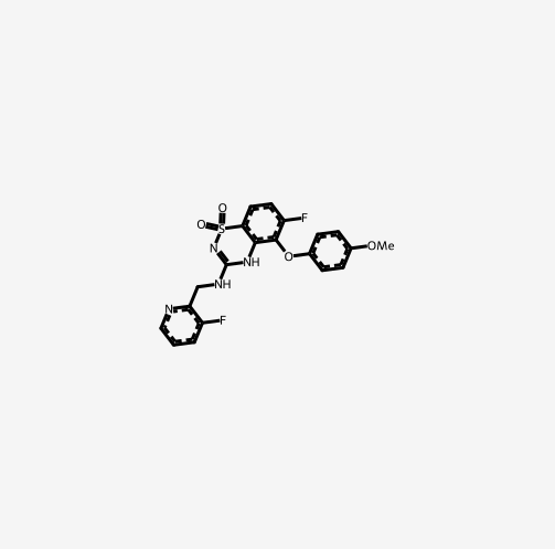 COc1ccc(Oc2c(F)ccc3c2NC(NCc2ncccc2F)=NS3(=O)=O)cc1